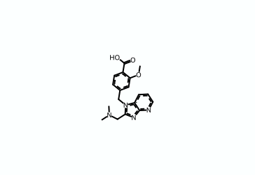 COc1cc(Cn2c(CN(C)C)nc3ncccc32)ccc1C(=O)O